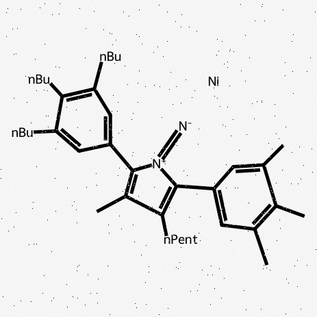 CCCCCC1=C(c2cc(C)c(C)c(C)c2)[N+](=[N-])C(c2cc(CCCC)c(CCCC)c(CCCC)c2)=C1C.[Ni]